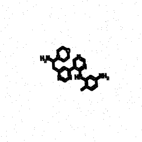 Cc1ccc(N)cc1Nc1ncncc1-c1cc(CC(N)N2CCOCC2)ncn1